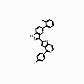 Cc1ccccc1-c1ccc2[nH]nc(-c3cc4c(-c5ccc(F)cc5)nccc4[nH]3)c2n1